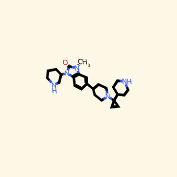 Cn1c(=O)n(C2CCCNC2)c2ccc(C3CCN(C4(C5CCNCC5)CC4)CC3)cc21